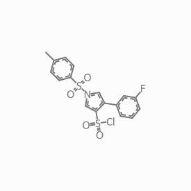 Cc1ccc(S(=O)(=O)n2cc(-c3cccc(F)c3)c(S(=O)(=O)Cl)c2)cc1